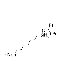 CCCCCCCCCCCCCCCC[SiH2]OC(CC)CCC